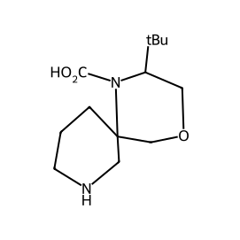 CC(C)(C)C1COCC2(CCCNC2)N1C(=O)O